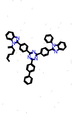 C=C(/C=C\C=C/C)n1c(-c2ccc(-c3nc(-c4ccc(-c5ccccc5)cc4)nc(-c4ccc(-c5nc6ccccc6n5-c5ccccc5)cc4)n3)cc2)nc2ccccc21